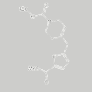 COC(=O)c1ccc(CC2=CCN(C(=O)OC(C)(C)C)CC2)o1